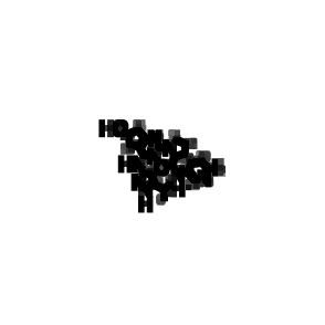 CC(C)c1cc(Nc2nc(N3CCCC3C(=O)Nc3ccc(F)nc3)nc3c2CC(O)C3)n[nH]1